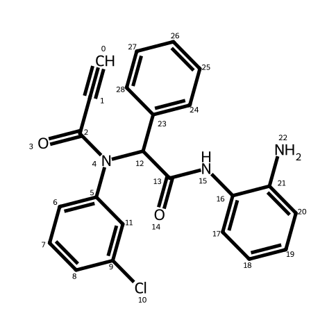 C#CC(=O)N(c1cccc(Cl)c1)C(C(=O)Nc1ccccc1N)c1ccccc1